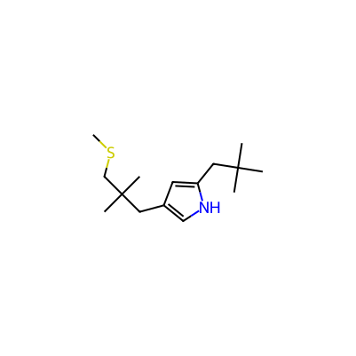 CSCC(C)(C)Cc1c[nH]c(CC(C)(C)C)c1